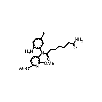 COc1ccc(N(C(=O)CCCCCC(N)=O)c2cc(F)ccc2N)c(OC)n1